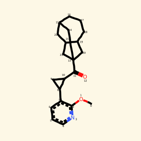 COc1ncccc1C1CC1C(=O)C12CC3CCCC(C1)C(C3)C2